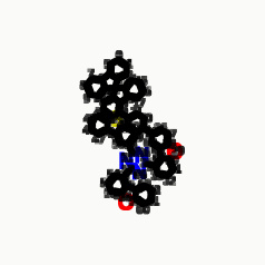 c1ccc2c(c1)-c1ccccc1C21c2ccccc2-c2c(-c3ccc(-c4ccc5oc6cccc(-c7nc(-c8ccc9sc%10ccccc%10c9c8)nc(-c8cccc9oc%10ccccc%10c89)n7)c6c5c4)cc3)cccc21